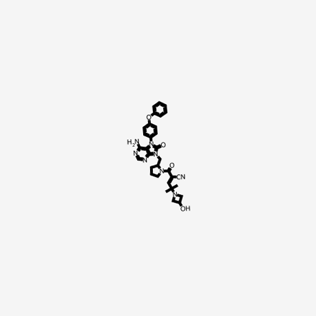 CC(C)(C=C(C#N)C(=O)N1CCCC1Cn1c(=O)n(-c2ccc(Oc3ccccc3)cc2)c2c(N)ncnc21)N1CC(O)C1